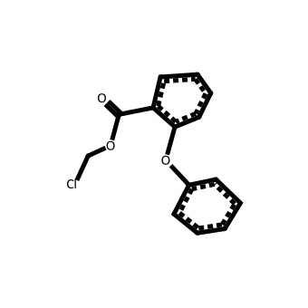 O=C(OCCl)c1ccccc1Oc1ccccc1